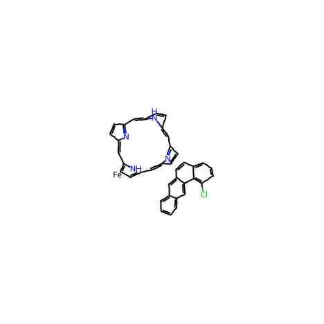 C1=Cc2cc3ccc(cc4nc(cc5ccc(cc1n2)[nH]5)C=C4)[nH]3.Clc1cccc2ccc3cc4ccccc4cc3c12.[Fe]